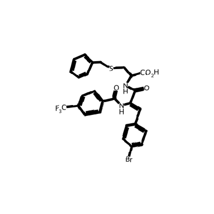 O=C(NC(CSCc1ccccc1)C(=O)O)C(=Cc1ccc(Br)cc1)NC(=O)c1ccc(C(F)(F)F)cc1